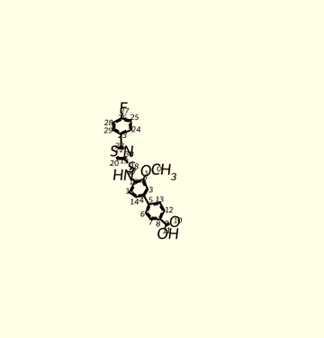 COc1cc(-c2ccc(C(=O)O)cc2)ccc1NSc1csc(-c2ccc(F)cc2)n1